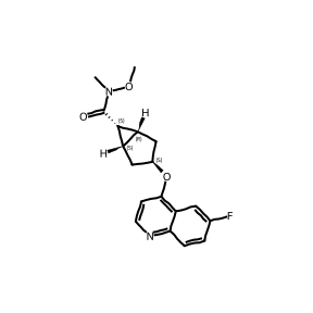 CON(C)C(=O)[C@@H]1[C@@H]2C[C@@H](Oc3ccnc4ccc(F)cc34)C[C@@H]21